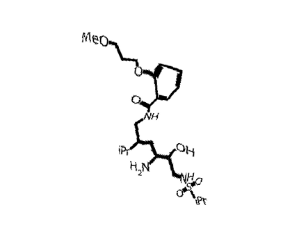 COCCCOc1ccccc1C(=O)NCC(CC(N)C(O)CNS(=O)(=O)C(C)C)C(C)C